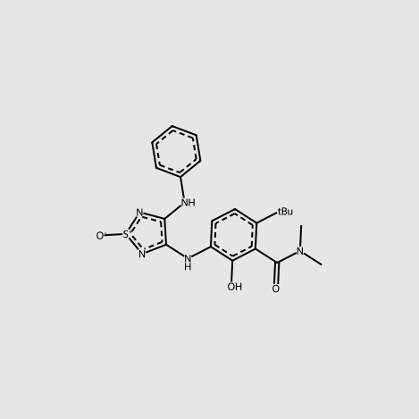 CN(C)C(=O)c1c(C(C)(C)C)ccc(Nc2n[s+]([O-])nc2Nc2ccccc2)c1O